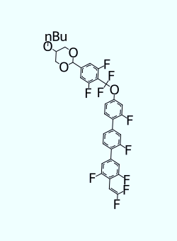 CCCCOC1COC(c2cc(F)c(C(F)(F)Oc3ccc(-c4ccc(-c5cc(F)c(C=C(F)F)c(F)c5)c(F)c4)c(F)c3)c(F)c2)OC1